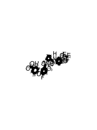 COc1cc(F)c(OC2CCC(C(=O)O)CC2)cc1C(=O)NC1CCCC1C(=O)Nc1cccc(S(=O)(=O)C(F)(F)F)c1